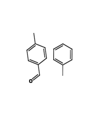 Cc1ccc(C=O)cc1.Cc1ccccc1